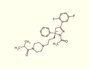 CC(=O)N1N=C(c2cc(F)ccc2F)C[C@@]1(CCCN1CCN(C(=O)C(C)C)CC1)c1ccccc1